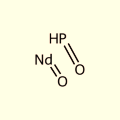 O=P.[O]=[Nd]